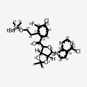 CC1(C)O[C@@H]2[C@H](O1)C(C(=O)c1ccc(Cl)c(F)c1CCO[Si](C)(C)C(C)(C)C)O[C@H]2n1ccc2c(Cl)ncnc21